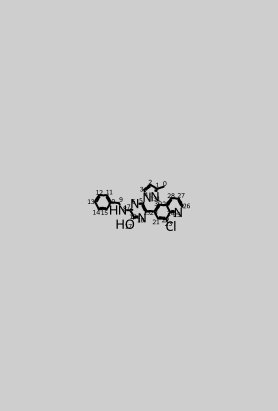 Cc1ccn(-c2nc(NCc3ccccc3)c(O)nc2-c2cc(Cl)c3ncccc3c2)n1